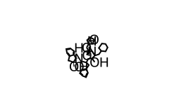 O=C(NC(CC1CCCCC1)C(O)CC(Cc1ccccc1)C(=O)N[C@H]1c2ccccc2C[C@@H]1O)OC1CCOC1